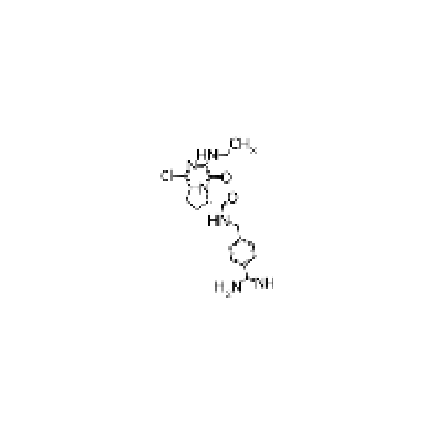 CCNc1nc(Cl)c2n(c1=O)[C@H](C(=O)NCc1ccc(C(=N)N)cc1)CC2